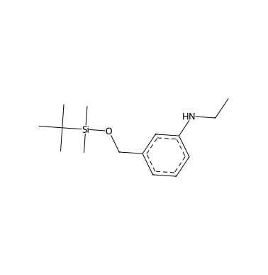 CCNc1cccc(CO[Si](C)(C)C(C)(C)C)c1